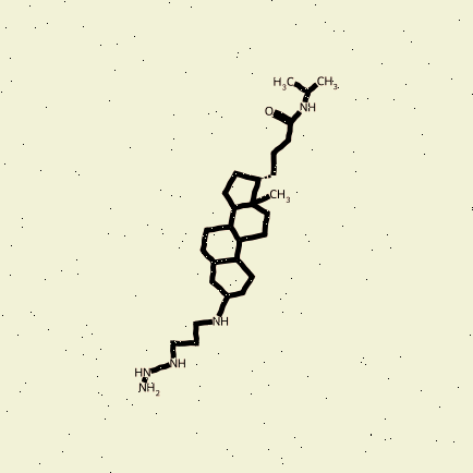 CC(C)NC(=O)CCC[C@H]1CCC2C3CCC4CC(NCCCNNN)CCC4C3CCC21C